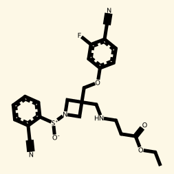 CCOC(=O)CCNCC1(COc2ccc(C#N)c(F)c2)CN([S+]([O-])c2ccccc2C#N)C1